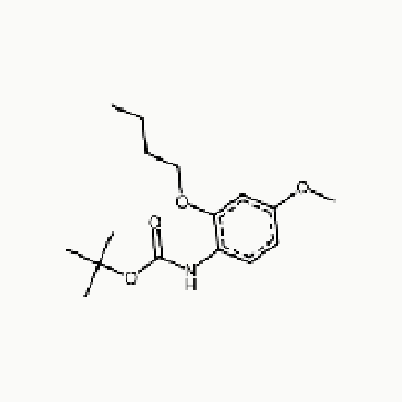 CCCCOc1cc(OC)ccc1NC(=O)OC(C)(C)C